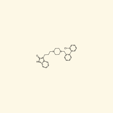 O=c1[nH]c2ccccc2n1CCCN1CCN(Cc2ccccc2-c2ccccc2Cl)CC1